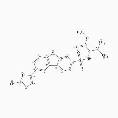 COC(=O)[C@@H](NS(=O)(=O)c1ccc2c(c1)oc1ccc(-c3ccc(Cl)o3)cc12)C(C)C